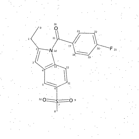 CCc1cc2cc(S(C)(=O)=O)ccc2n1C(=O)c1ccc(F)cc1